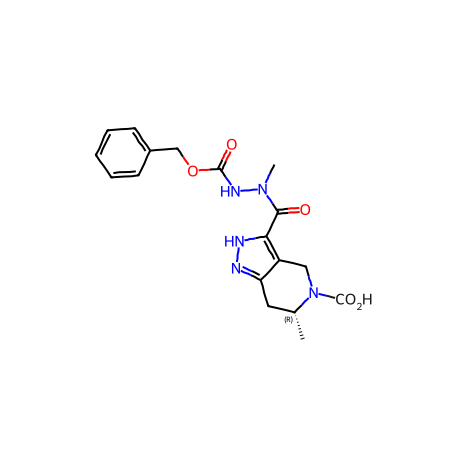 C[C@@H]1Cc2n[nH]c(C(=O)N(C)NC(=O)OCc3ccccc3)c2CN1C(=O)O